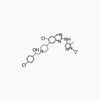 Cc1c(Nc2ncc3cc(Cl)c(C4CCN(CC(O)c5ccc(Cl)cc5)CC4)cc3n2)cnn1C1CC1